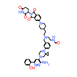 Nc1nnc(-c2ccccc2O)cc1N1CCN(c2cccc(CN(CCNC=O)CCC3CCN(c4ccc5c(c4)C(=O)N(C4CCC(=O)NC4=O)C5=O)CC3)c2)C2(CC2)C1